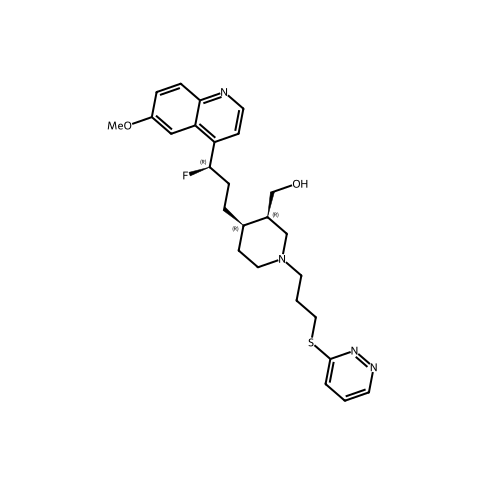 COc1ccc2nccc([C@H](F)CC[C@@H]3CCN(CCCSc4cccnn4)C[C@@H]3CO)c2c1